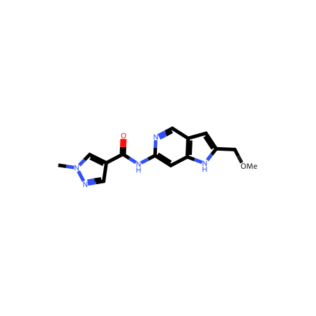 COCc1cc2cnc(NC(=O)c3cnn(C)c3)cc2[nH]1